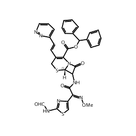 CON=C(C(=O)NC1C(=O)N2C(C(=O)OC(c3ccccc3)c3ccccc3)=C(C=Cc3cccnn3)CS[C@@H]12)c1csc(NC=O)n1